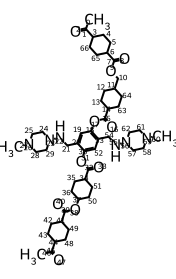 CC(=O)C1CCC(C(=O)OCC2CCC(C(=O)Oc3cc(CNN4CCN(C)CC4)c(OC(=O)C4CCC(OC(=O)C5CCC(C(C)=O)CC5)CC4)cc3CNN3CCN(C)CC3)CC2)CC1